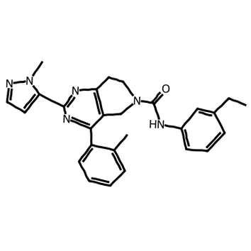 CCc1cccc(NC(=O)N2CCc3nc(-c4ccnn4C)nc(-c4ccccc4C)c3C2)c1